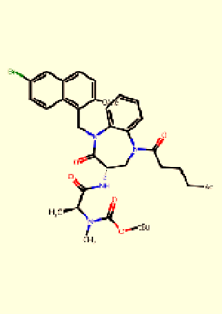 COc1ccc2cc(Br)ccc2c1CN1C(=O)[C@@H](NC(=O)[C@H](C)N(C)C(=O)OC(C)(C)C)CN(C(=O)CCCC(C)=O)c2ccccc21